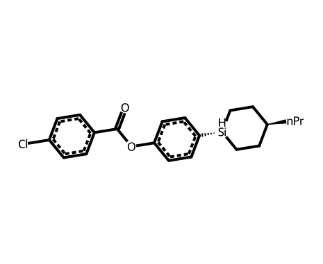 CCC[C@H]1CC[Si@H](c2ccc(OC(=O)c3ccc(Cl)cc3)cc2)CC1